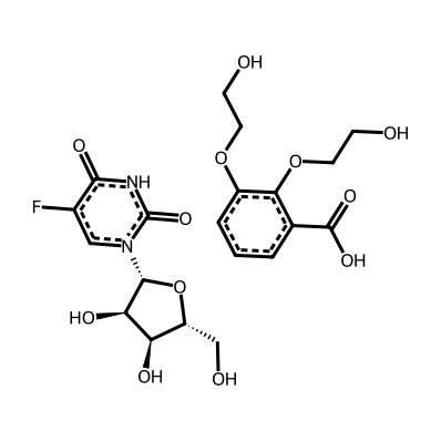 O=C(O)c1cccc(OCCO)c1OCCO.O=c1[nH]c(=O)n([C@@H]2O[C@H](CO)[C@@H](O)[C@H]2O)cc1F